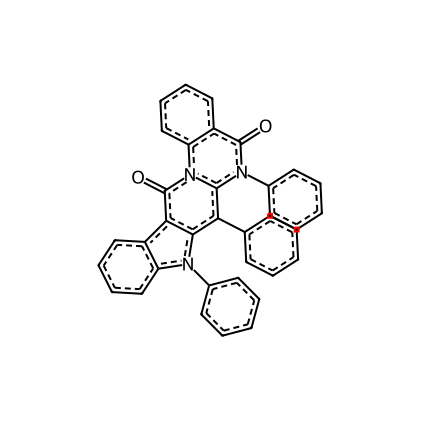 O=c1c2ccccc2n2c(=O)c3c4ccccc4n(-c4ccccc4)c3c(-c3ccccc3)c2n1-c1ccccc1